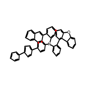 c1ccc(-c2ccc(-c3ccc(N(c4ccccc4-c4ccc5ccccc5c4)c4ccccc4-c4cccc5oc6ccccc6c45)cc3)cc2)cc1